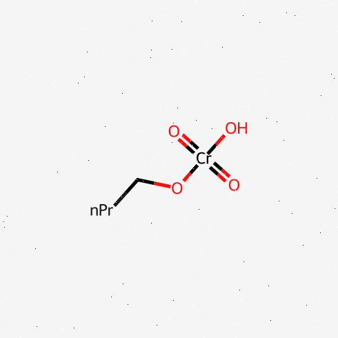 CCCC[O][Cr](=[O])(=[O])[OH]